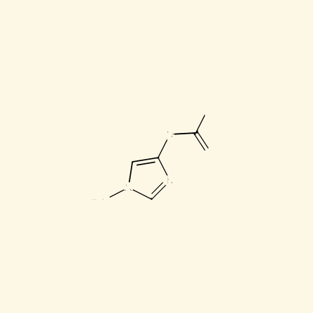 CC(=O)Nc1cn(C)cn1